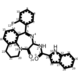 O=C(NC1N=C(c2ccccc2F)c2cccc3c2N(CCC3)C1=O)c1cc2ccccc2[nH]1